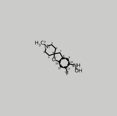 CN1CCC2(CC1)Cc1cc(NO)c(F)cc1O2